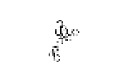 C1=Cc2oc3c(ccc4c5cc(-c6ccc7oc8ccccc8c7c6)cc6c7ccc8c9ccccc9oc8c7n(c56)c43)c2CC1